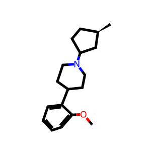 COc1ccccc1C1CCN(C2CC[C@@H](C)C2)CC1